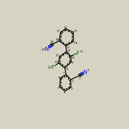 N#Cc1ccccc1-c1cc(F)c(-c2ccccc2C#N)cc1F